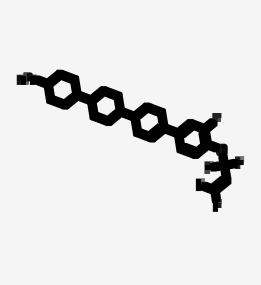 CCCC1CCC(C2CCC(C3CC=C(c4ccc(OC(F)(F)C=C(F)F)c(F)c4)CC3)CC2)CC1